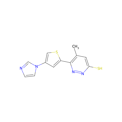 Cc1cc(S)nnc1-c1cc(-n2ccnc2)cs1